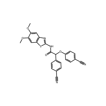 COc1cc2nc(NC(=O)C(Oc3ccc(C#N)cc3)c3ccc(C#N)cc3)sc2cc1OC